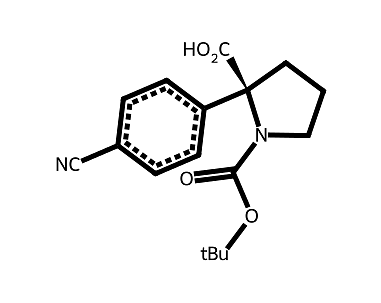 CC(C)(C)OC(=O)N1CCC[C@@]1(C(=O)O)c1ccc(C#N)cc1